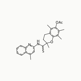 CC(=O)Oc1c(C)c(C)c2c(c1C)CCC(C)(C(=S)Nc1cc(C)c3ccccc3n1)O2